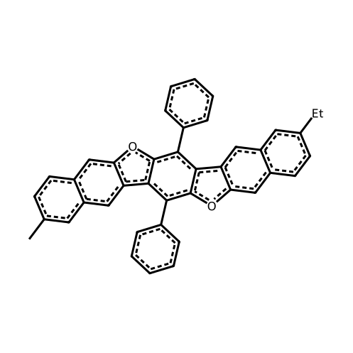 CCc1ccc2cc3oc4c(-c5ccccc5)c5c(oc6cc7ccc(C)cc7cc65)c(-c5ccccc5)c4c3cc2c1